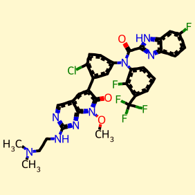 COn1c(=O)c(-c2cc(N(C(=O)c3nc4ccc(F)cc4[nH]3)c3cccc(C(F)(F)F)c3F)ccc2Cl)cc2cnc(NCCN(C)C)nc21